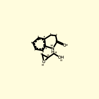 O=C1CCc2ccccc2N1.OCC1CO1